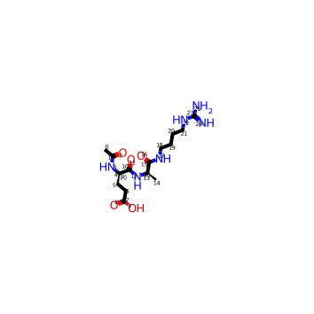 CC(=O)N[C@H](CCC(=O)O)C(=O)N[C@H](C)C(=O)NCCCCNC(=N)N